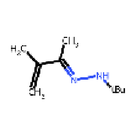 C=C(C)/C(C)=N/NC(C)(C)C